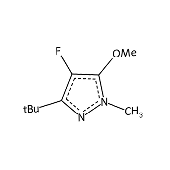 COc1c(F)c(C(C)(C)C)nn1C